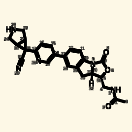 CC(=O)NC[C@@H]1OC(=O)N2c3ccc(-c4ccc(C5(C#N)C6CNCC65)nc4)cc3C[C@@H]12